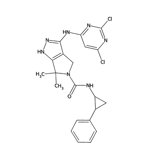 CC1(C)c2[nH]nc(Nc3cc(Cl)nc(Cl)n3)c2CN1C(=O)NC1CC1c1ccccc1